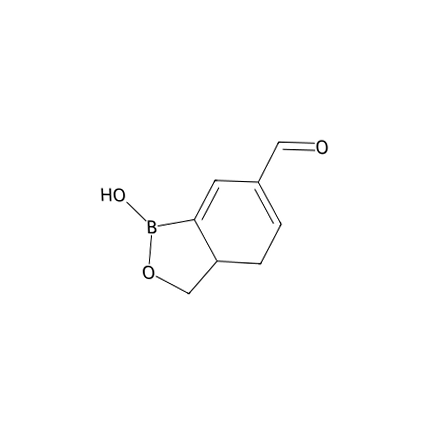 O=CC1=CCC2COB(O)C2=C1